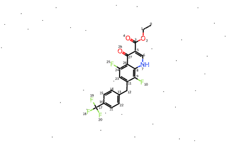 CCOC(=O)c1c[nH]c2c(F)c(Cc3ccc(C(F)(F)F)cc3)cc(F)c2c1=O